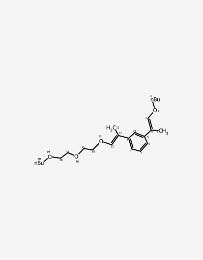 CCCCOC=C(C)c1cccc(C(C)=COCCOCCOCCCC)c1